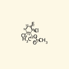 CC(=O)O[C@H](C)c1c(Cl)ccc(F)c1Cl